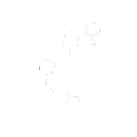 Cc1cccc(C)c1-c1cc(Cl)nc(NS(=O)(=O)c2cccc(C(=O)N3CCN(C(=O)OC(C)(C)C)[C@H](CC(C)C)[C@H](O)C3)c2)n1